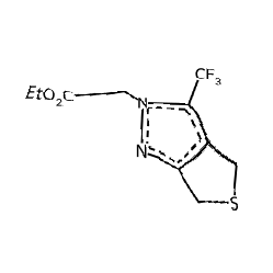 CCOC(=O)Cn1nc2c(c1C(F)(F)F)CSC2